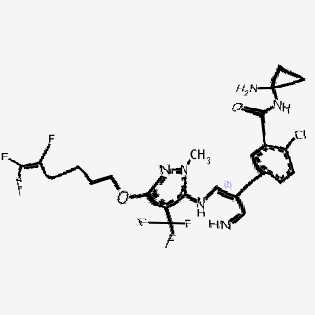 Cn1nc(OCCCCC(F)=C(F)F)c(C(F)(F)F)c1N/C=C(\C=N)c1ccc(Cl)c(C(=O)NC2(N)CC2)c1